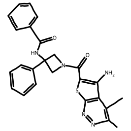 Cc1nnc2sc(C(=O)N3CC(NC(=O)c4ccccc4)(c4ccccc4)C3)c(N)c2c1C